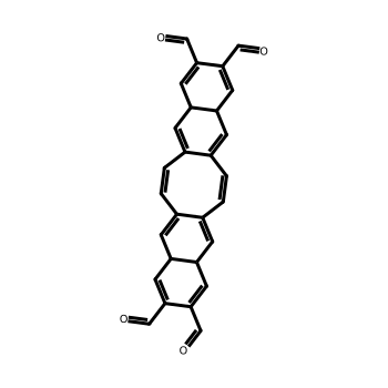 O=CC1=CC2C=C3/C=C\C4=CC5C=C(C=O)C(C=O)=CC5C=C4/C=C\C3=CC2C=C1C=O